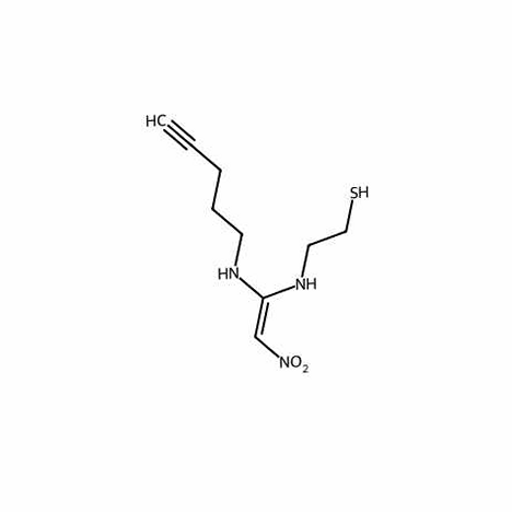 C#CCCCNC(=C[N+](=O)[O-])NCCS